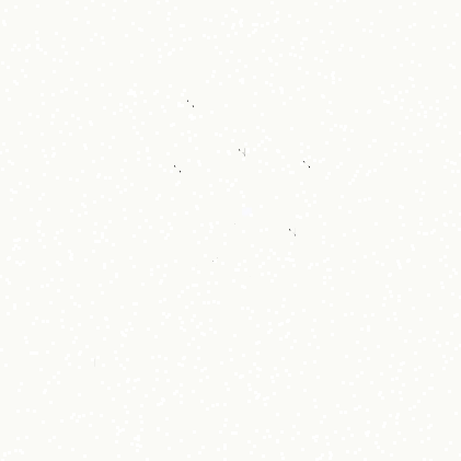 CCC(CC)COC(=O)/C(C#N)=C1\Nc2ccccc2N=C1N1CCNCC1